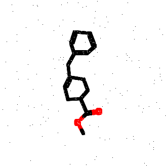 COC(=O)C1CC=C(Cc2ccccc2)CC1